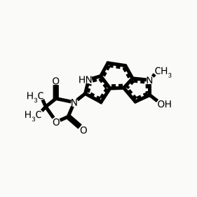 Cn1c(O)cc2c3cc(N4C(=O)OC(C)(C)C4=O)[nH]c3ccc21